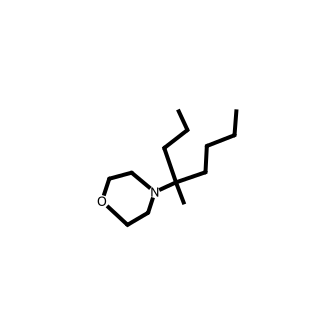 CCCCC(C)(CCC)N1CCOCC1